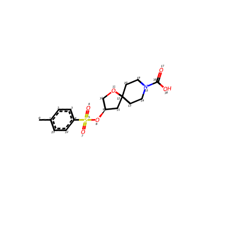 Cc1ccc(S(=O)(=O)O[C@H]2COC3(CCN(C(=O)O)CC3)C2)cc1